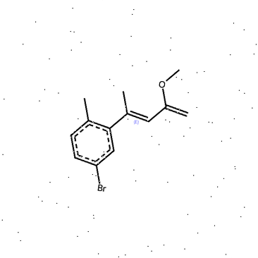 C=C(/C=C(\C)c1cc(Br)ccc1C)OC